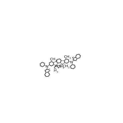 Cc1cc(N(c2ccccc2)c2cc3ccccc3s2)cc2c1-c1ccc3c(c1C2(C)C)C(C)(C)c1cc(N(c2ccccc2)c2cc4ccccc4s2)cc(C)c1-3